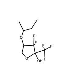 CCC(C)OC1COC(O)(C(F)(F)F)C1(F)F